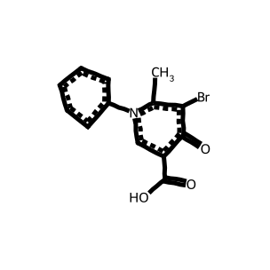 Cc1c(Br)c(=O)c(C(=O)O)cn1-c1ccccc1